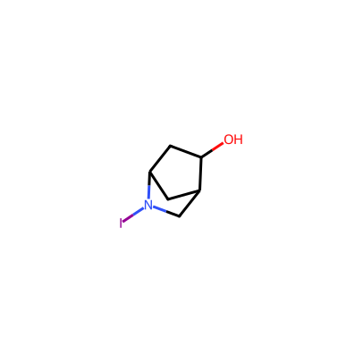 OC1CC2CC1CN2I